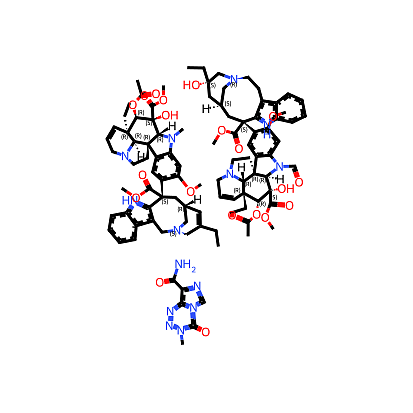 CCC1=C[C@@H]2C[N@](C1)Cc1c([nH]c3ccccc13)[C@@](C(=O)OC)(c1cc3c(cc1OC)N(C)[C@H]1[C@@](O)(C(=O)OC)[C@H](OC(C)=O)[C@]4(CC)C=CCN5CC[C@]31[C@@H]54)C2.CC[C@]1(O)C[C@H]2C[N@](CCc3c([nH]c4ccccc34)[C@@](C(=O)OC)(c3cc4c(cc3OC)N(C=O)[C@H]3[C@@](O)(C(=O)OC)[C@H](OC(C)=O)[C@]5(CC)C=CCN6CC[C@]43[C@@H]65)C2)C1.Cn1nnc2c(C(N)=O)ncn2c1=O